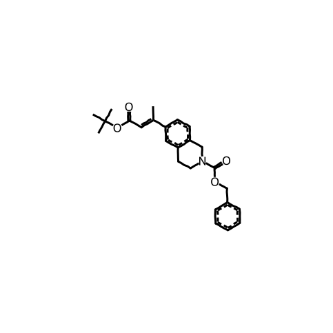 CC(=CC(=O)OC(C)(C)C)c1ccc2c(c1)CCN(C(=O)OCc1ccccc1)C2